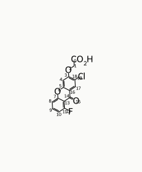 O=C(O)COc1cc2oc3cccc(F)c3c(=O)c2cc1Cl